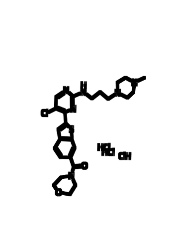 CN1CCN(CCCNc2ncc(Cl)c(-c3cc4ccc(C(=O)N5CCOCC5)cc4s3)n2)CC1.Cl.Cl.Cl